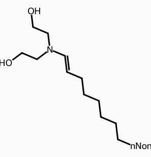 CCCCCCCCCCCCCCCC=CN(CCO)CCO